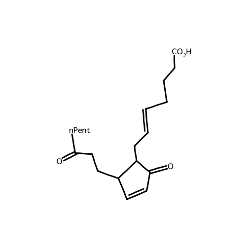 CCCCCC(=O)CCC1C=CC(=O)C1CC=CCCCC(=O)O